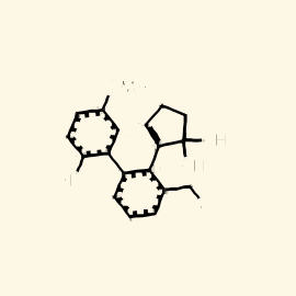 COc1ccc(F)c(-c2cccc(CCl)c2C2=CCCC2(C)C)c1